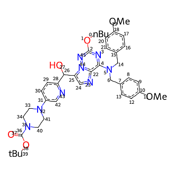 CCCCOc1nc(N(Cc2ccc(OC)cc2)Cc2ccc(OC)cc2)c2ncc(C(O)c3ccc(N4CCN(C(=O)OC(C)(C)C)CC4)cn3)n2n1